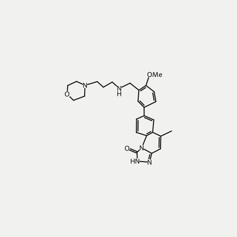 COc1ccc(-c2ccc3c(c2)c(C)cc2n[nH]c(=O)n23)cc1CNCCCN1CCOCC1